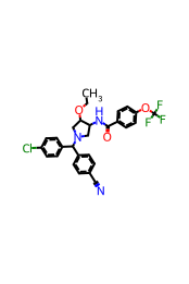 CCOC1CN(C(c2ccc(Cl)cc2)c2ccc(C#N)cc2)CC1NC(=O)c1ccc(OC(F)(F)F)cc1